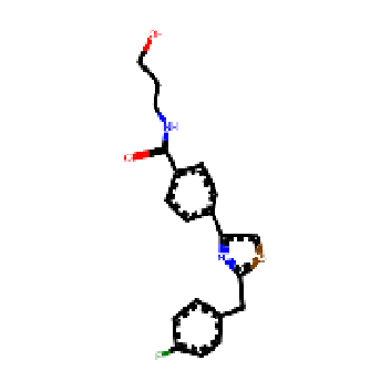 O=C(NCCCO)c1ccc(-c2csc(Cc3ccc(F)cc3)n2)cc1